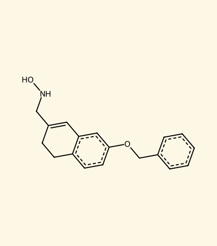 ONCC1=Cc2cc(OCc3ccccc3)ccc2CC1